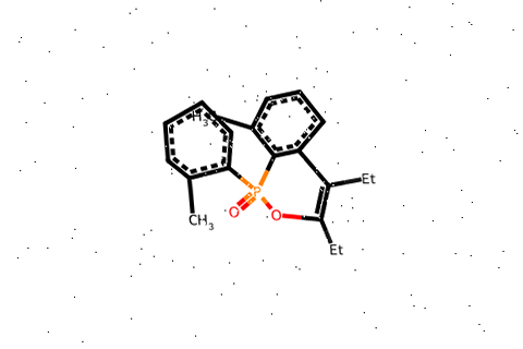 CCC1=C(CC)c2cccc(C)c2P(=O)(c2ccccc2C)O1